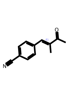 CC(=O)/C(C)=C/c1ccc(C#N)cc1